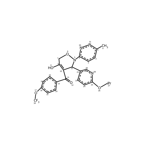 Cc1ccc(N2OCC(O)=C(C(=O)c3ccc(OC(F)(F)F)cc3)C2c2ccc(OC(C)C)nc2)nn1